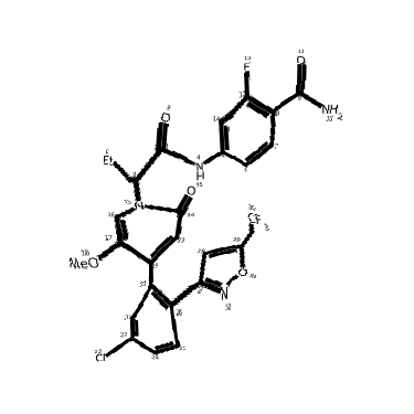 CCC(C(=O)Nc1ccc(C(N)=O)c(F)c1)n1cc(OC)c(-c2cc(Cl)ccc2-c2cc(C(F)(F)F)on2)cc1=O